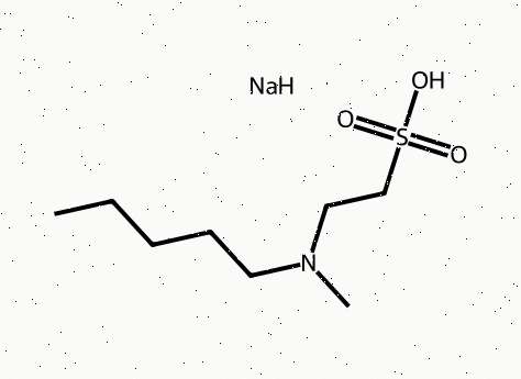 CCCCCN(C)CCS(=O)(=O)O.[NaH]